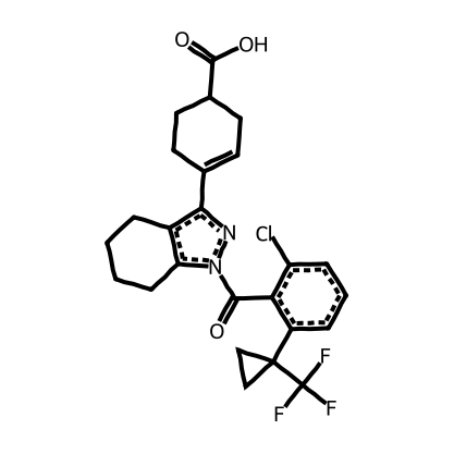 O=C(O)C1CC=C(c2nn(C(=O)c3c(Cl)cccc3C3(C(F)(F)F)CC3)c3c2CCCC3)CC1